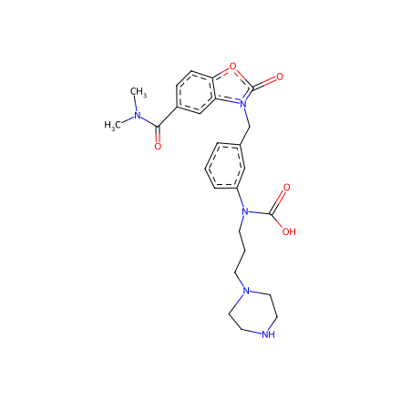 CN(C)C(=O)c1ccc2oc(=O)n(Cc3cccc(N(CCCN4CCNCC4)C(=O)O)c3)c2c1